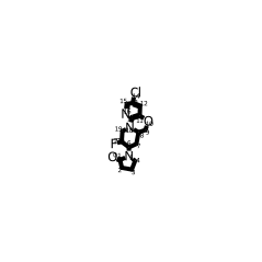 O=C1CCCN1C1CC2COc3cc(Cl)cnc3N2CC1F